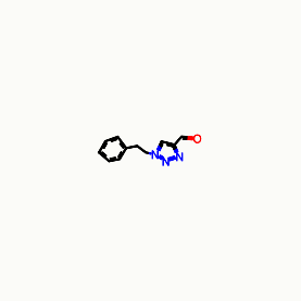 O=Cc1cn(CCc2ccccc2)nn1